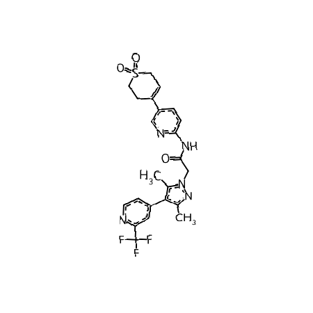 Cc1nn(CC(=O)Nc2ccc(C3=CCS(=O)(=O)CC3)cn2)c(C)c1-c1ccnc(C(F)(F)F)c1